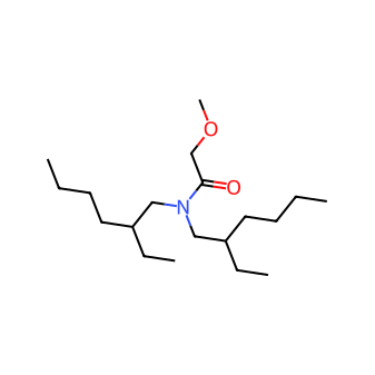 CCCCC(CC)CN(CC(CC)CCCC)C(=O)COC